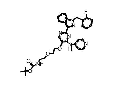 CC(C)(C)OC(=O)NCCOCCOc1cnc(-c2nn(Cc3ccccc3F)c3ccccc23)nc1Nc1ccncc1